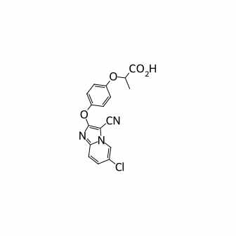 CC(Oc1ccc(Oc2nc3ccc(Cl)cn3c2C#N)cc1)C(=O)O